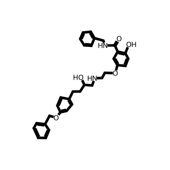 O=C(NCc1ccccc1)c1cc(OCCNCC(O)CCc2ccc(OCc3ccccc3)cc2)ccc1O